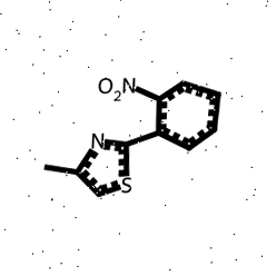 Cc1csc(-c2ccccc2[N+](=O)[O-])n1